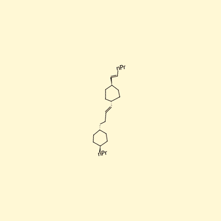 CCCC=C[C@H]1CC[C@H](C=CCC[C@H]2CC[C@H](CCC)CC2)CC1